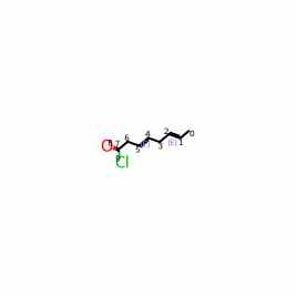 C/C=C/C/C=C/CC(=O)Cl